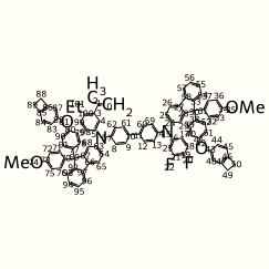 C=C(C)c1cc(N(c2ccc(-c3ccc(N(c4ccc(F)c(F)c4)c4ccc5c(c4)C(c4ccc(OC)cc4)(c4ccc(Oc6ccc7c(c6)CC7)cc4)c4ccccc4-5)cc3)cc2)c2ccc3c(c2)C(c2ccc(OC)cc2)(c2ccc(Oc4ccc5c(c4)CC5)cc2)c2ccccc2-3)ccc1CC